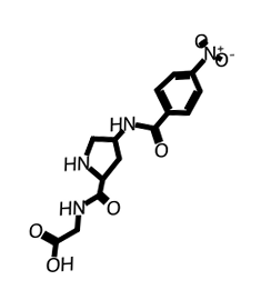 O=C(O)CNC(=O)C1CC(NC(=O)c2ccc([N+](=O)[O-])cc2)CN1